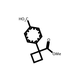 COC(=O)C1(c2ccc(C(=O)O)cc2)CCC1